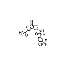 CC(C)NC(=O)c1ccc2[nH]c3c(c2c1)CC(NC(=O)Nc1ccc(Cl)c(C(F)(F)F)c1)CC3